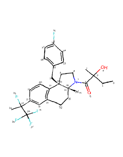 CCC(C)(O)C(=O)N1CC[C@@]2(Cc3ccc(F)cc3)c3ccc(C(C)(F)C(F)(F)F)cc3CC[C@@H]12